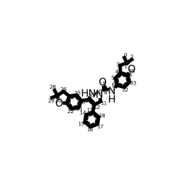 CC1(C)Cc2cc(NC(=O)N3CC(c4ccccc4)=C(c4ccc5c(c4)CC(C)(C)O5)N3)ccc2O1